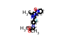 CCc1cc(C(=O)N2CCCCC[C@H]2C)nc2cc(-c3ccc(N4CCC(C)(C(=O)OC)C4)cc3F)nn12